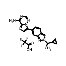 CC(C1CC1)n1nc2ccc(-c3cnc4c(N)ncnn34)cc2n1.O=C(O)C(F)(F)F